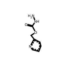 NNC(=O)OCc1ccccn1